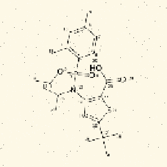 CCOP(=O)(c1ccc(C)cc1C)N(c1cc(C(C)(C)C)sc1C(=O)O)C(C)C